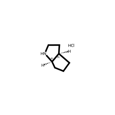 C1C[C@@H]2CCN[C@@H]2C1.Cl